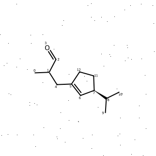 CC(C=O)CC1=C[C@H](C(C)C)CC1